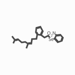 CC(C)=CCCC(C)=CCCc1ccccc1CC[Se]c1ccccc1[N+](=O)[O-]